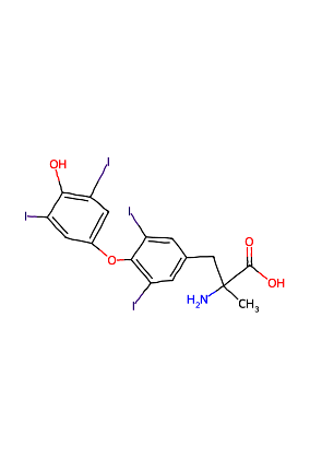 CC(N)(Cc1cc(I)c(Oc2cc(I)c(O)c(I)c2)c(I)c1)C(=O)O